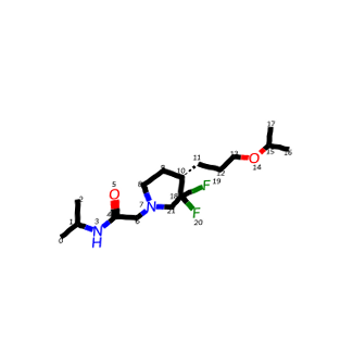 CC(C)NC(=O)CN1CC[C@H](CCCOC(C)C)C(F)(F)C1